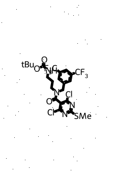 CSc1nc(Cl)c(C(=O)N(CCCNC(=O)OC(C)(C)C)Cc2cc(C(F)(F)F)cc(C(F)(F)F)c2)c(Cl)n1